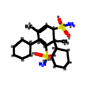 CC1=CC(S(N)(=O)=O)C(C)(C2CCCCC2)C(S(N)(=O)=O)=C1C1CCCCC1